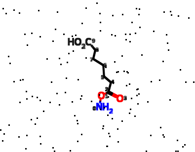 NOC(=O)CCCCCC(=O)O